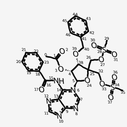 CC(=O)O[C@H]1[C@H](n2cnc3ncnc-3c2NC(=O)c2ccccc2)OC(COS(C)(=O)=O)(COS(C)(=O)=O)[C@H]1OCc1ccccc1